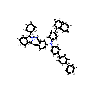 C1=c2ccc(N(c3ccc(-c4ccc(-c5ccccc5)cc4)cc3)c3ccc(-c4cccc5ccccc45)cc3)cc2=C[N+]2=C(c3ccccc3)c3ccccc3C12